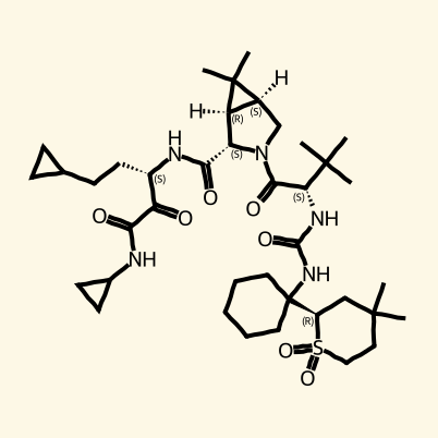 CC1(C)CCS(=O)(=O)[C@@H](C2(NC(=O)N[C@H](C(=O)N3C[C@H]4[C@@H]([C@H]3C(=O)N[C@@H](CCC3CC3)C(=O)C(=O)NC3CC3)C4(C)C)C(C)(C)C)CCCCC2)C1